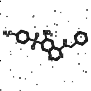 Cc1ccc(S(=O)(=O)c2cc3ncnc(NCc4ccccc4)c3cc2[N+](=O)[O-])cc1